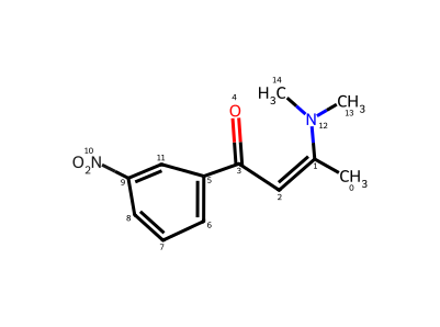 CC(=CC(=O)c1cccc([N+](=O)[O-])c1)N(C)C